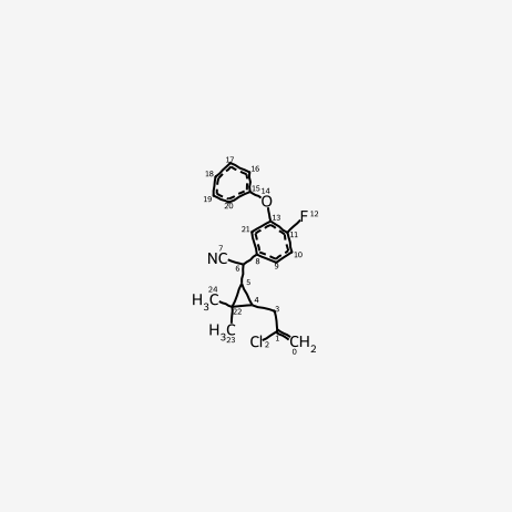 C=C(Cl)CC1C(C(C#N)c2ccc(F)c(Oc3ccccc3)c2)C1(C)C